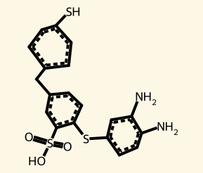 Nc1ccc(Sc2ccc(Cc3ccc(S)cc3)cc2S(=O)(=O)O)cc1N